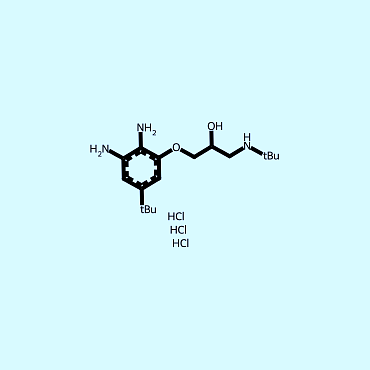 CC(C)(C)NCC(O)COc1cc(C(C)(C)C)cc(N)c1N.Cl.Cl.Cl